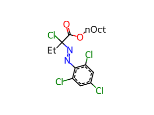 CCCCCCCCOC(=O)C(Cl)(CC)N=Nc1c(Cl)cc(Cl)cc1Cl